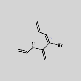 C=C/C=C(\C(=C)NC=C)C(C)C